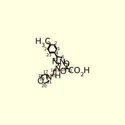 Cc1ccc(C2CN(OC(=O)C(=O)O)C(NCCN3CCOCC3)=N2)cc1